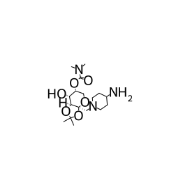 CN(C)C(=O)O[C@@H]1CO[C@@]2(CN3CCC(N)CC3)OC(C)(C)O[C@H]2[C@@H]1O